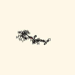 Cc1ncsc1-c1ccc([C@H](C)NC(=O)[C@@H]2C[C@@H](O)CN2C(=O)[C@@H](NC(=O)CCCCCC(=O)N2CC3CC2CN3CC[C@H](CSc2ccccc2)Nc2ccc(S(=O)(=O)NC(=O)c3ccc(N4CCN(CC5=C(c6ccc(Cl)cc6)CCC6(CC6)C5)CC4)cc3)cc2S(=O)(=O)C(F)(F)F)C(C)(C)C)cc1